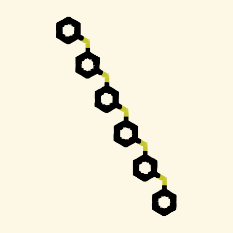 c1ccc(Sc2cccc(Sc3cccc(Sc4cccc(Sc5cccc(Sc6ccccc6)c5)c4)c3)c2)cc1